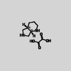 C1CN[C@@H]2CNC[C@@H]2C1.O=C(O)C(=O)O